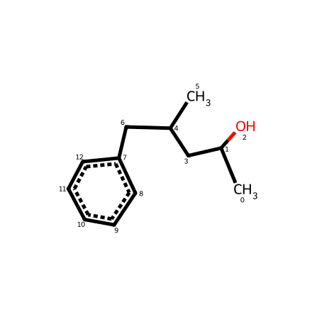 CC(O)CC(C)Cc1ccccc1